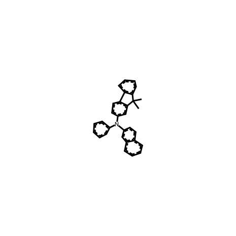 CC1(C)c2ccccc2-c2ccc(N(c3ccccc3)c3ccc4ccccc4c3)cc21